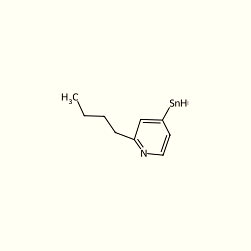 CCCCc1c[c]([SnH])ccn1